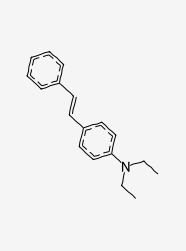 CCN(CC)c1ccc(C=Cc2ccccc2)cc1